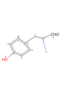 O=[C]C(I)Cc1ccc(O)cc1